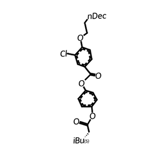 CCCCCCCCCCCCOc1ccc(C(=O)Oc2ccc(OC(=O)C[C@@H](C)CC)cc2)cc1Cl